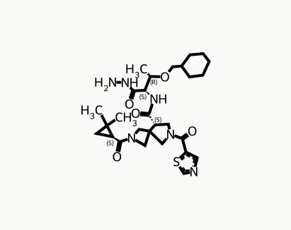 C[C@@H](OCC1CCCCC1)[C@H](NC(=O)[C@@H]1CN(C(=O)c2cncs2)CC12CN(C(=O)[C@H]1CC1(C)C)C2)C(=O)NN